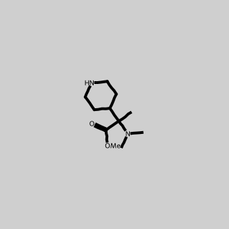 COC(=O)C(C)(C1CCNCC1)N(C)C